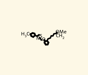 C=C(CCCCCc1ccccc1OCc1nc(-c2ccc(C)cc2)cs1)OC